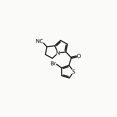 N#CC1CCn2c(C(=O)c3sccc3Br)ccc21